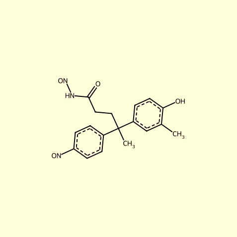 Cc1cc(C(C)(CCC(=O)NN=O)c2ccc(N=O)cc2)ccc1O